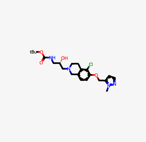 Cn1nccc1COc1ccc2c(c1Cl)CCN(C[C@@H](O)CNC(=O)OC(C)(C)C)C2